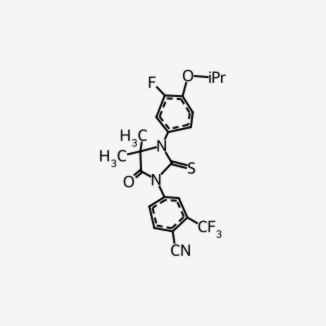 CC(C)Oc1ccc(N2C(=S)N(c3ccc(C#N)c(C(F)(F)F)c3)C(=O)C2(C)C)cc1F